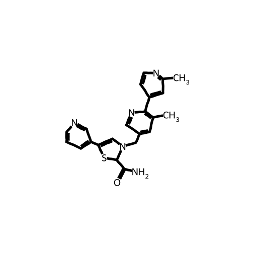 Cc1cc(-c2ncc(CN3C=C(c4cccnc4)SC3C(N)=O)cc2C)ccn1